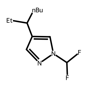 CCCCC(CC)c1cnn(C(F)F)c1